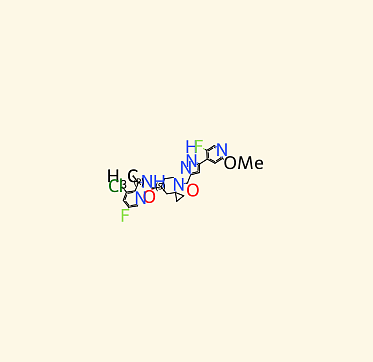 COc1cc(-c2cc(C(=O)N3CC[C@H](C(=O)N[C@H](C)c4ncc(F)cc4Cl)CC34CC4)n[nH]2)c(F)cn1